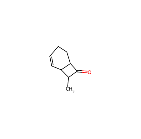 CC1C(=O)C2CCC=CC12